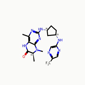 Cc1nc(N[C@@H]2CC[C@H](Nc3cnc(C(F)(F)F)cn3)C2)nc2c1NC(=O)[C@H](C)N2C